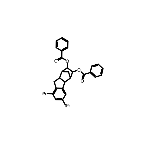 CC(C)c1cc(C(C)C)c2c(c1)C1C(C2)C2CC1C(OC(=O)c1ccccc1)C2OC(=O)c1ccccc1